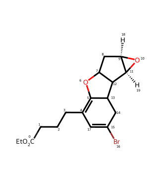 CCOC(=O)CCCC1=C2OC3C[C@H]4O[C@H]4C3C2CC(Br)=C1